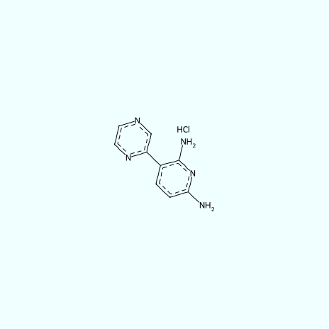 Cl.Nc1ccc(-c2cnccn2)c(N)n1